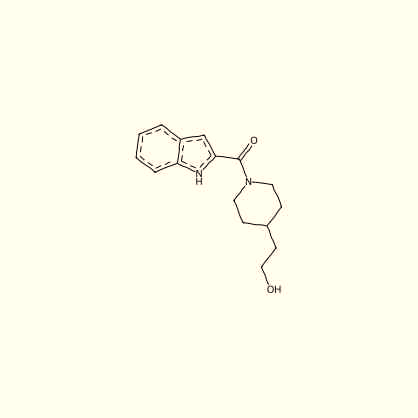 O=C(c1cc2ccccc2[nH]1)N1CCC(CCO)CC1